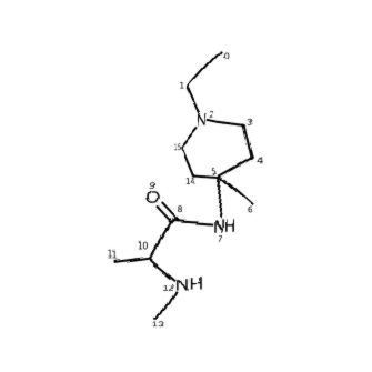 CCN1CCC(C)(NC(=O)C(C)NC)CC1